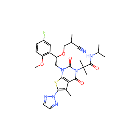 COc1ccc(F)cc1[C@H](Cn1c(=O)n(C(C)(C)C(=O)NC(C)C)c(=O)c2c(C)c(-n3nccn3)sc21)OCC(C)C#N